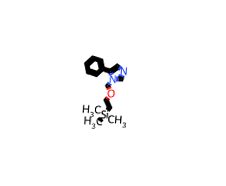 C[Si](C)(C)CCOCn1cncc1-c1ccccc1